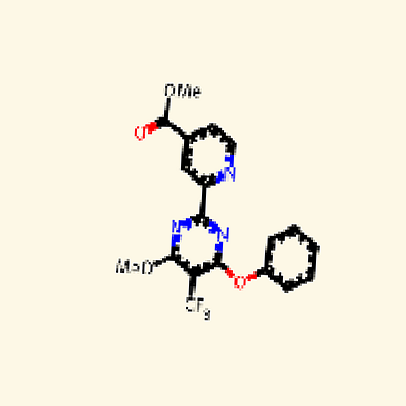 COC(=O)c1ccnc(-c2nc(OC)c(C(F)(F)F)c(Oc3ccccc3)n2)c1